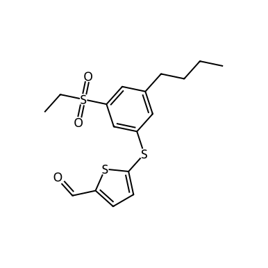 CCCCc1cc(Sc2ccc(C=O)s2)cc(S(=O)(=O)CC)c1